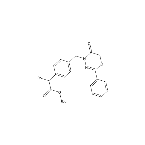 CC(C)C(C(=O)OC(C)(C)C)c1ccc(CN2N=C(c3ccccc3)OCC2=O)cc1